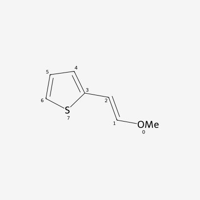 CO/C=C/c1cccs1